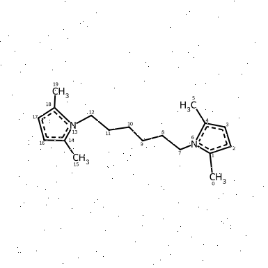 Cc1ccc(C)n1CCCCCCn1c(C)ccc1C